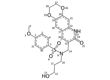 COc1ccc(S(=O)(=O)N(CCCO)Cc2cc3cc4c(cc3[nH]c2=O)OCCO4)cc1